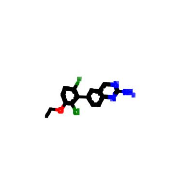 CCOc1ccc(F)c(-c2ccc3nc(N)ncc3c2)c1Cl